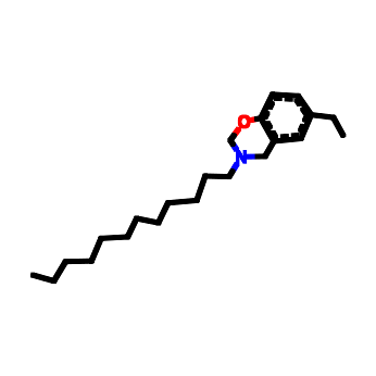 CCCCCCCCCCCCN1COc2ccc(CC)cc2C1